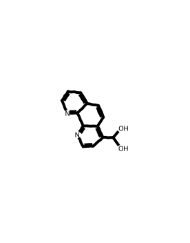 OC(O)c1ccnc2c1ccc1cccnc12